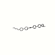 CCCCCC1CCC(C2CC=C(C#Cc3ccc(-c4ccc(OCC)cc4)cc3)CC2)CC1